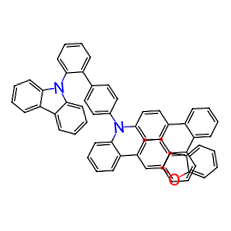 c1ccc(-c2ccccc2-c2ccc(N(c3ccc(-c4ccccc4-n4c5ccccc5c5ccccc54)cc3)c3ccccc3-c3ccc4c(c3)oc3ccccc34)cc2)cc1